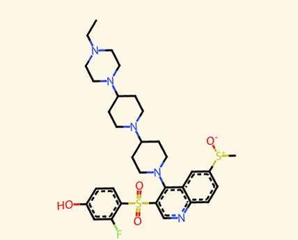 CCN1CCN(C2CCN(C3CCN(c4c(S(=O)(=O)c5ccc(O)cc5F)cnc5ccc([S+](C)[O-])cc45)CC3)CC2)CC1